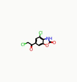 O=C(CCl)c1cc(Cl)c2[nH]c(=O)oc2c1